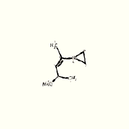 CO[C@H](C)/C=C(/C)N1CC1